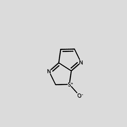 [O-][S+]1CN=C2C=CN=C21